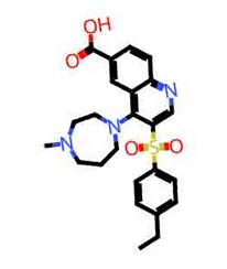 CCc1ccc(S(=O)(=O)c2cnc3ccc(C(=O)O)cc3c2N2CCCN(C)CC2)cc1